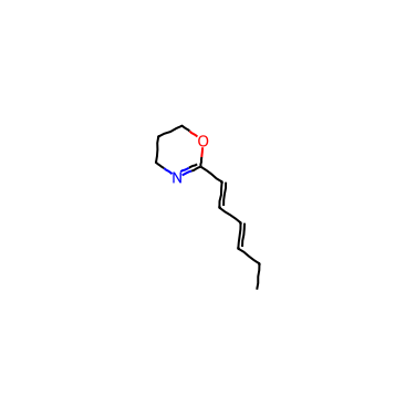 CCC=CC=CC1=NCCCO1